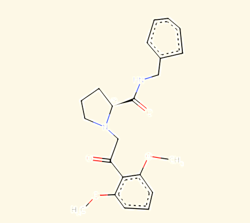 COc1cccc(OC)c1C(=O)CN1CCC[C@H]1C(=O)NCc1ccccc1